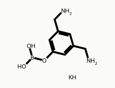 NCc1cc(CN)cc(OB(O)O)c1.[KH]